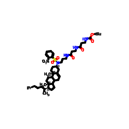 CC(C)CCCC(C)[C@H]1CCC2C3CC=C4C[C@@H](N(CCCNC(=O)CCNC(=O)CCNC(=O)OC(C)(C)C)S(=O)(=O)c5ccccc5[N+](=O)[O-])CC[C@]4(C)C3CC[C@@]21C